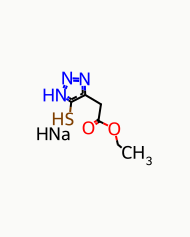 CCOC(=O)Cc1nn[nH]c1S.[NaH]